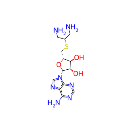 NCC(CN)SC[C@H]1O[C@@H](n2cnc3c(N)ncnc32)[C@H](O)[C@@H]1O